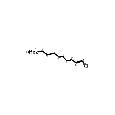 CCCCCCCCCCCCCC=CCl